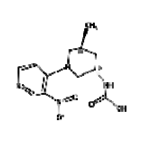 C[C@H]1C[C@H](NC(=O)O)CN(c2ccncc2[N+](=O)[O-])C1